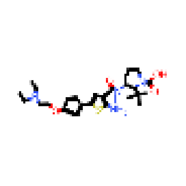 CCN(CC)CCOc1ccc(-c2cc(C(=O)N[C@H]3CCCN(C(=O)O)C3C(C)(C)C)c(N)s2)cc1